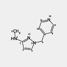 CNc1ccn(Cc2ccncc2)n1